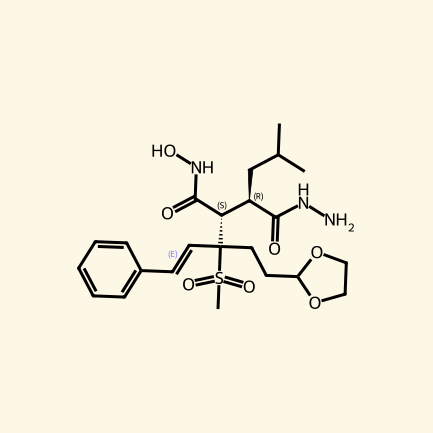 CC(C)C[C@@H](C(=O)NN)[C@@H](C(=O)NO)C(/C=C/c1ccccc1)(CCC1OCCO1)S(C)(=O)=O